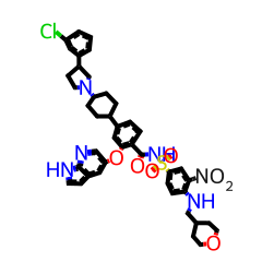 O=C(NS(=O)(=O)c1ccc(NCC2CCOCC2)c([N+](=O)[O-])c1)c1ccc(C2CCC(N3CCC(c4cccc(Cl)c4)C3)CC2)cc1Oc1cnc2[nH]ccc2c1